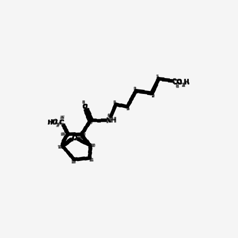 O=C(O)CCCCCNC(=O)C1C2CCC(O2)C1C(=O)O